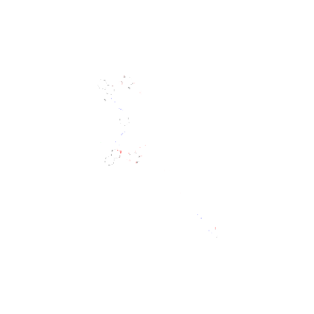 O=C(CCN1C(=O)C=CC1=O)NCCOCCOCCOCCOCCOCCOCCOCCOc1cc(/C=C/C(=O)N2C[C@@H](CCl)c3c2cc(O[C@@H]2O[C@H](CO)[C@H](O)[C@H](O)[C@H]2O)c2ccccc32)ccc1/C=C/C(=O)N1C[C@@H](CCl)c2c1cc(O[C@@H]1O[C@H](CO)[C@H](O)[C@H](O)[C@H]1O)c1ccccc21